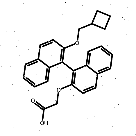 O=C(O)COc1ccc2ccccc2c1-c1c(OCC2CCC2)ccc2ccccc12